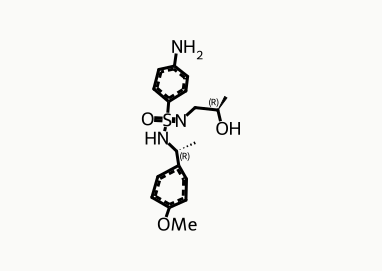 COc1ccc([C@@H](C)NS(=O)(=NC[C@@H](C)O)c2ccc(N)cc2)cc1